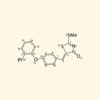 CSC1=NC(=O)/C(=C/c2ccc(Oc3ccccc3C(C)C)cc2)S1